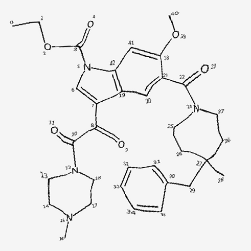 CCOC(=O)n1cc(C(=O)C(=O)N2CCN(C)CC2)c2cc(C(=O)N3CCC(C)(Cc4ccccc4)CC3)c(OC)cc21